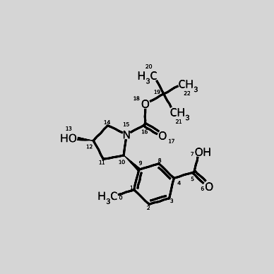 Cc1ccc(C(=O)O)cc1[C@H]1C[C@@H](O)CN1C(=O)OC(C)(C)C